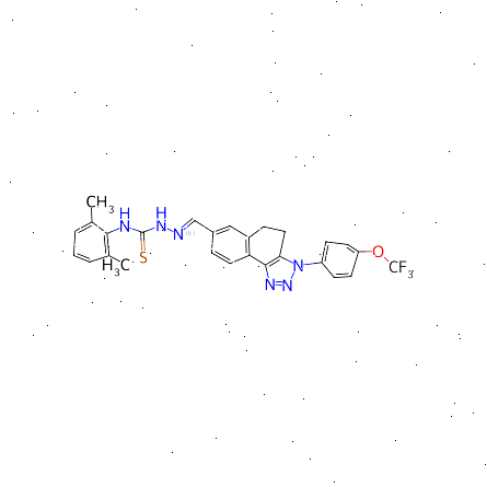 Cc1cccc(C)c1NC(=S)N/N=C/c1ccc2c(c1)CCc1c-2nnn1-c1ccc(OC(F)(F)F)cc1